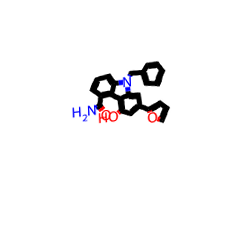 NC(=O)c1cccc2c1c1c(O)cc(-c3ccco3)cc1n2Cc1ccccc1